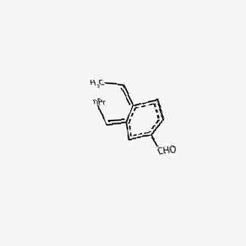 C/C=c1/ccc(C=O)c/c1=C/CCC